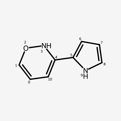 C1=CONC(c2ccc[nH]2)=C1